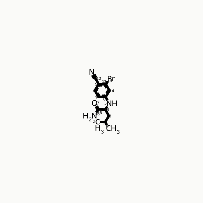 CC(C)CC(Nc1ccc(C#N)c(Br)c1)C(N)=O